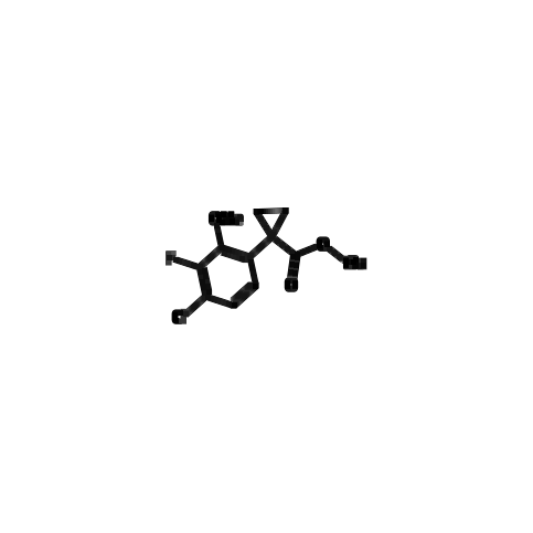 COc1c(C2(C(=O)OC(C)(C)C)CC2)ccc(Cl)c1F